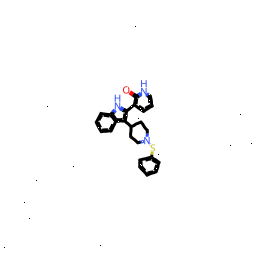 O=c1[nH]cccc1-c1[nH]c2ccccc2c1C1CCN(Sc2ccccc2)CC1